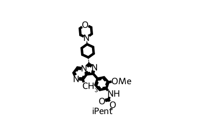 CCCC(C)OC(=O)Nc1ccc(-c2nc([C@H]3CC[C@@H](N4CCOCC4)CC3)n3ccnc(C)c23)cc1OC